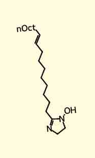 CCCCCCCCC=CCCCCCCCCC1=NCCN1O